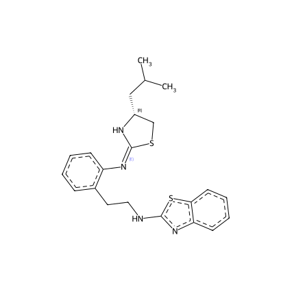 CC(C)C[C@@H]1CS/C(=N/c2ccccc2CCNc2nc3ccccc3s2)N1